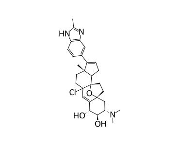 Cc1nc2cc(C3=CCC4[C@@]56CC[C@]7(C[C@H](N(C)C)[C@@H](O)[C@H](O)C7=CC5(Cl)CC[C@]34C)O6)ccc2[nH]1